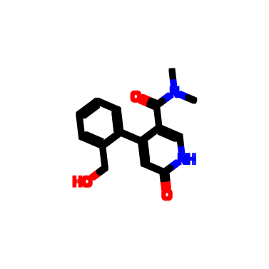 CN(C)C(=O)c1c[nH]c(=O)cc1-c1ccccc1CO